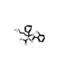 CC(C)C(=O)N1N=C(c2ccccc2Cl)OC1(CCCN)c1ccccc1